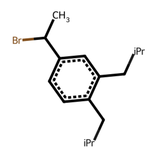 CC(C)Cc1ccc(C(C)Br)cc1CC(C)C